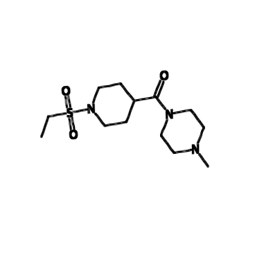 CCS(=O)(=O)N1CCC(C(=O)N2CCN(C)CC2)CC1